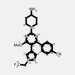 COc1nc(N2CCC(N)CC2)nc(-c2ccc(C#N)cc2)c1-c1cnn(CC(F)(F)F)c1